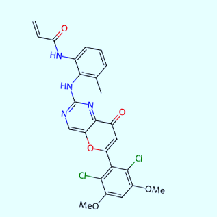 C=CC(=O)Nc1cccc(C)c1Nc1ncc2oc(-c3c(Cl)c(OC)cc(OC)c3Cl)cc(=O)c2n1